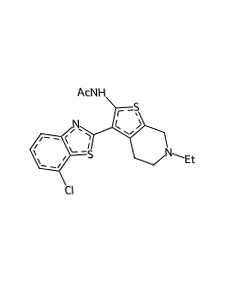 CCN1CCc2c(sc(NC(C)=O)c2-c2nc3cccc(Cl)c3s2)C1